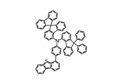 c1ccc(C2(c3ccccc3)c3ccccc3-c3c(N(c4ccc(-c5cccc6c5sc5ccccc56)cc4)c4cccc5c4-c4ccccc4C54c5ccccc5-c5ccccc54)cccc32)cc1